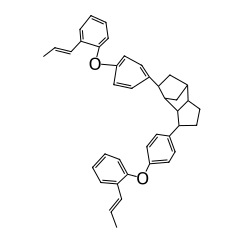 CC=Cc1ccccc1Oc1ccc(C2CC3CC2C2C(c4ccc(Oc5ccccc5C=CC)cc4)CCC32)cc1